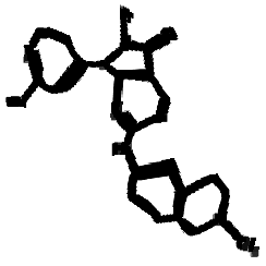 CC(C)n1c(=O)c2cnc(Nc3ccc4c(c3)CCN(C)C4)nc2n1-c1ccnc(C(C)(C)C)c1